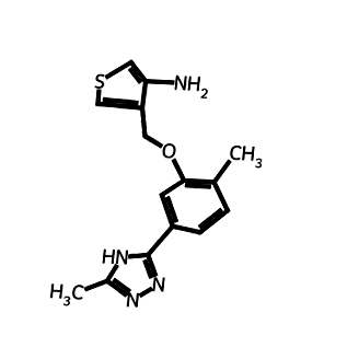 Cc1nnc(-c2ccc(C)c(OCc3cscc3N)c2)[nH]1